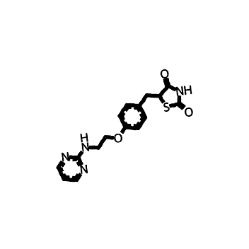 O=C1NC(=O)C(Cc2ccc(OCCNc3ncccn3)cc2)S1